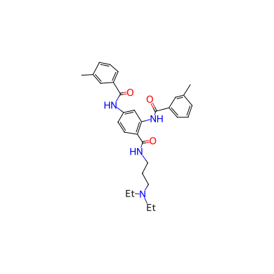 CCN(CC)CCCNC(=O)c1ccc(NC(=O)c2cccc(C)c2)cc1NC(=O)c1cccc(C)c1